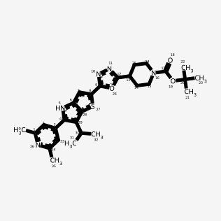 Cc1cc(-c2[nH]c3cc(-c4nnc(C5CCN(C(=O)OC(C)(C)C)CC5)o4)sc3c2C(C)C)cc(C)n1